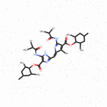 CCCCC(CC)C(=O)NC1=N/C(=C\c2nc(C(=O)OC3C(C(C)(C)C)CC(C)CC3C(C)(C)C)c(NC(=O)C(CC)CCCC)[nH]2)C(C(C)C)=C1C(=O)OC1C(C(C)(C)C)CC(C)CC1C(C)(C)C